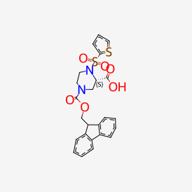 O=C(O)[C@@H]1CN(C(=O)OCC2c3ccccc3-c3ccccc32)CCN1S(=O)(=O)c1cccs1